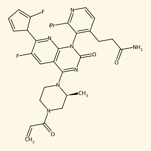 C=CC(=O)N1CCN(c2nc(=O)n(-c3c(CCC(N)=O)ccnc3C(C)C)c3nc(C4C=CC=C4F)c(F)cc23)[C@@H](C)C1